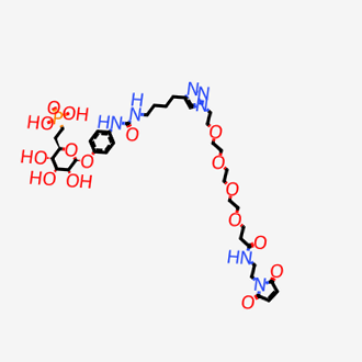 O=C(CCOCCOCCOCCOCCn1cc(CCCCNC(=O)Nc2ccc(O[C@H]3O[C@H](CCP(=O)(O)O)[C@@H](O)[C@H](O)[C@@H]3O)cc2)nn1)NCCN1C(=O)C=CC1=O